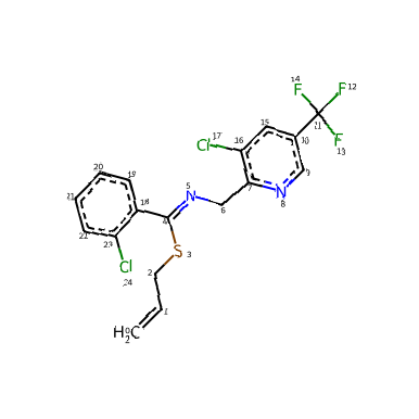 C=CCSC(=NCc1ncc(C(F)(F)F)cc1Cl)c1ccccc1Cl